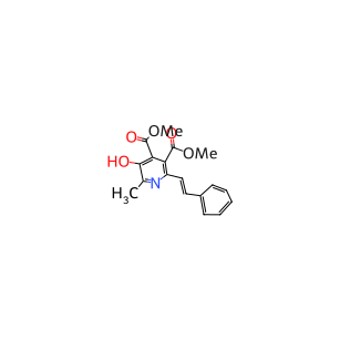 COC(=O)c1c(C=Cc2ccccc2)nc(C)c(O)c1C(=O)OC